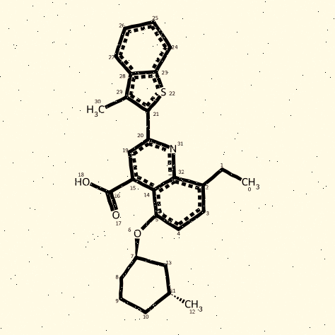 CCc1ccc(O[C@@H]2CCC[C@@H](C)C2)c2c(C(=O)O)cc(-c3sc4ccccc4c3C)nc12